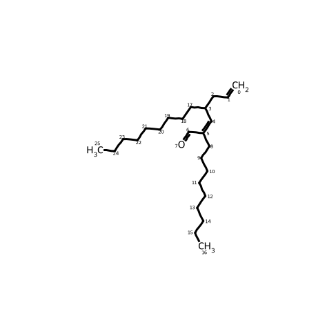 C=CCC(C=C(C=O)CCCCCCCCC)CCCCCCCCC